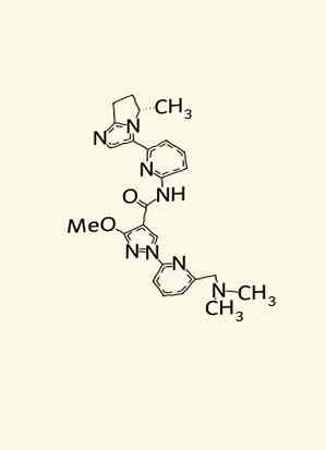 COc1nn(-c2cccc(CN(C)C)n2)cc1C(=O)Nc1cccc(-c2cnc3n2[C@@H](C)CC3)n1